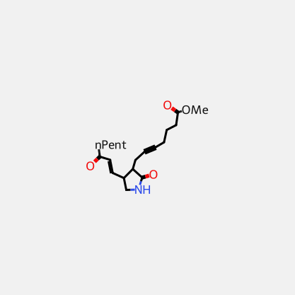 CCCCCC(=O)/C=C/C1CNC(=O)C1CC#CCCCC(=O)OC